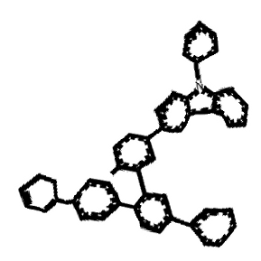 Cc1ccc(-c2ccc3c(c2)c2ccccc2n3-c2ccccc2)cc1-c1cc(-c2ccccc2)ccc1-c1ccc(C2=CC=CCC2)cc1